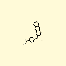 CCC(C)c1ccc(C(O)c2ccc3cc4ccccc4cc3c2)cc1